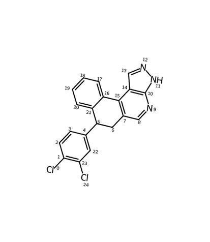 Clc1ccc(C2Cc3cnc4[nH]ncc4c3-c3ccccc32)cc1Cl